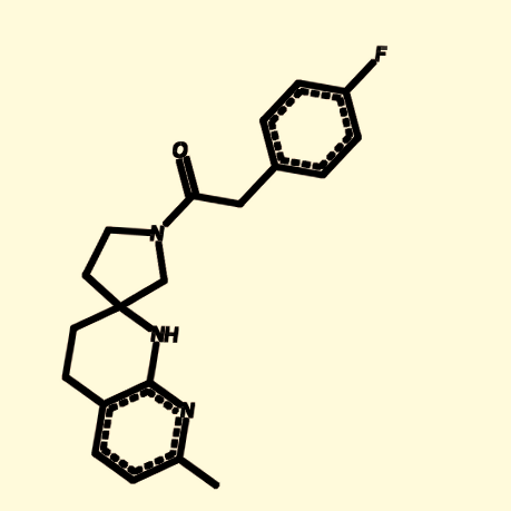 Cc1ccc2c(n1)NC1(CC2)CCN(C(=O)Cc2ccc(F)cc2)C1